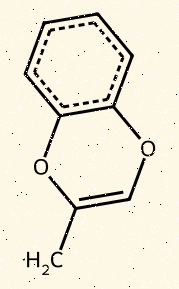 [CH2]C1=COc2ccccc2O1